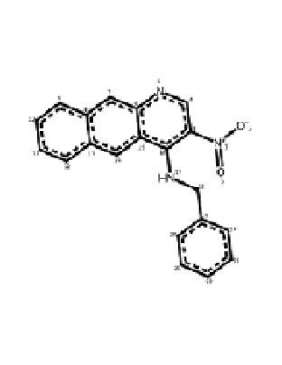 O=[N+]([O-])c1cnc2cc3ccccc3cc2c1NCc1ccccc1